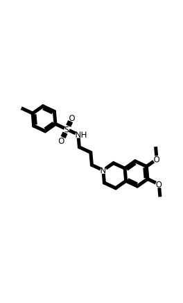 COc1cc2c(cc1OC)CN(CCCNS(=O)(=O)c1ccc(C)cc1)CC2